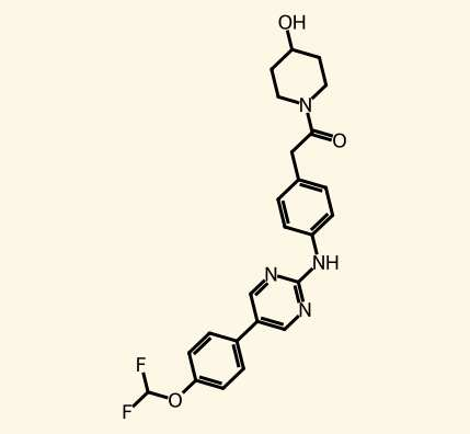 O=C(Cc1ccc(Nc2ncc(-c3ccc(OC(F)F)cc3)cn2)cc1)N1CCC(O)CC1